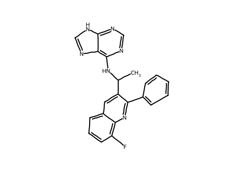 CC(Nc1ncnc2[nH]cnc12)c1cc2cccc(F)c2nc1-c1ccccc1